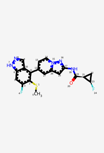 CSc1c(F)cc2[nH]ncc2c1-c1ccn2nc(NC(=O)[C@H]3C[C@H]3F)cc2c1